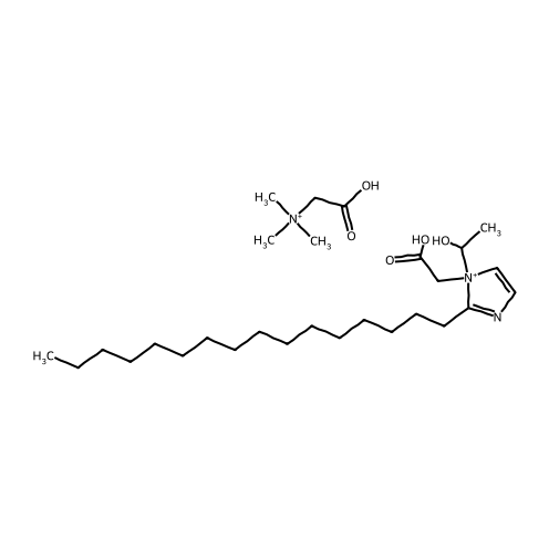 CCCCCCCCCCCCCCCCC1=NC=C[N+]1(CC(=O)O)C(C)O.C[N+](C)(C)CC(=O)O